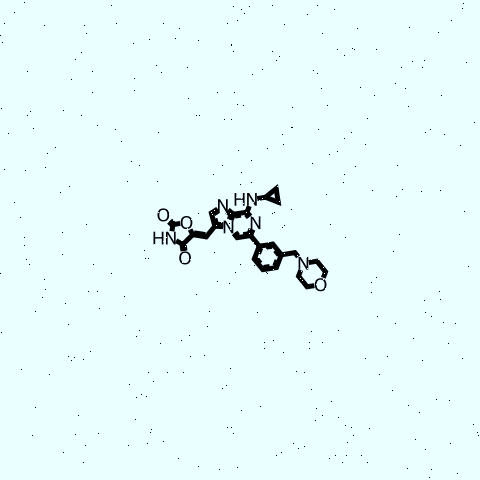 O=C1NC(=O)/C(=C/c2cnc3c(NC4CC4)nc(-c4cccc(CN5CCOCC5)c4)cn23)O1